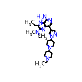 CCc1nc2c(N)ncc(-c3cnn(C4CCN(C5CCN(CC)CC5)CC4)c3)c2nc1N(C)C